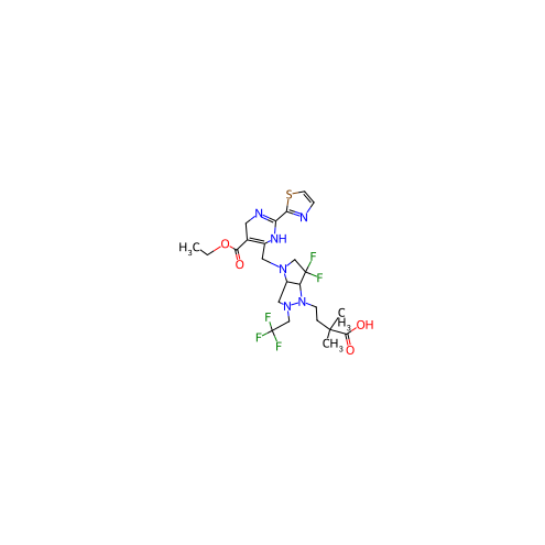 CCOC(=O)C1=C(CN2CC(F)(F)C3C2CN(CC(F)(F)F)N3CCC(C)(C)C(=O)O)NC(c2nccs2)=NC1